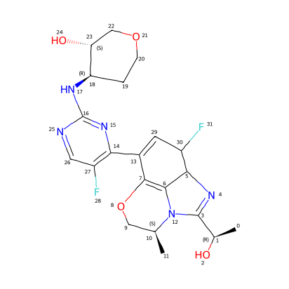 C[C@@H](O)C1=NC2C3=C(OC[C@H](C)N13)C(c1nc(N[C@@H]3CCOC[C@H]3O)ncc1F)=CC2F